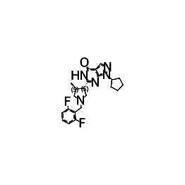 C[C@@H]1CN(Cc2c(F)cccc2F)C[C@H]1c1nc2c(cnn2C2CCCC2)c(=O)[nH]1